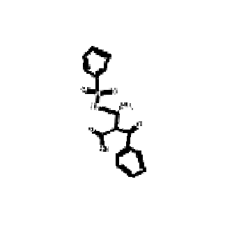 N[C@@H](NS(=O)(=O)c1ccccc1)C(C(=O)O)C(=O)c1ccccc1